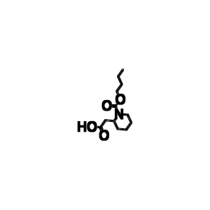 CCCCOC(=O)N1CCCCC1CC(=O)O